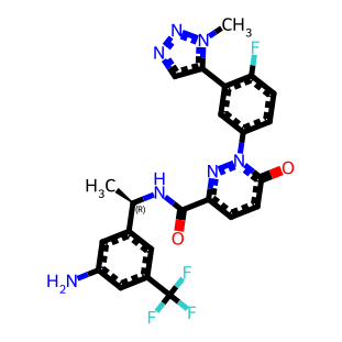 C[C@@H](NC(=O)c1ccc(=O)n(-c2ccc(F)c(-c3cnnn3C)c2)n1)c1cc(N)cc(C(F)(F)F)c1